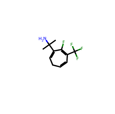 CC(C)(N)C1=CCC=CC(C(F)(F)F)=C1F